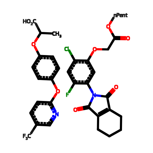 CC(Oc1ccc(Oc2ccc(C(F)(F)F)cn2)cc1)C(=O)O.CCCCCOC(=O)COc1cc(N2C(=O)C3=C(CCCC3)C2=O)c(F)cc1Cl